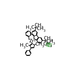 CC1=[C](/[Zr+2](=[CH]/c2ccccc2)[CH]2c3ccc(C(C)(C)C)cc3-c3cc(C(C)(C)C)ccc32)C(C)C=C1c1ccccc1.[Cl-].[Cl-]